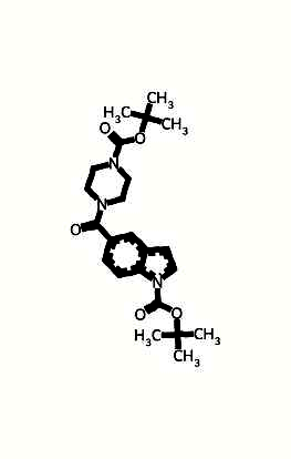 CC(C)(C)OC(=O)N1CCN(C(=O)c2ccc3c(ccn3C(=O)OC(C)(C)C)c2)CC1